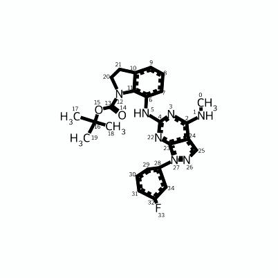 CNc1nc(Nc2cccc3c2N(C(=O)OC(C)(C)C)CC3)nc2c1cnn2-c1cccc(F)c1